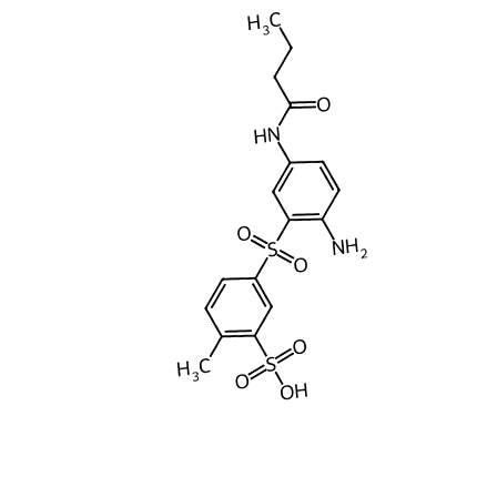 CCCC(=O)Nc1ccc(N)c(S(=O)(=O)c2ccc(C)c(S(=O)(=O)O)c2)c1